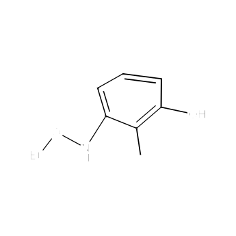 CCONc1cccc(O)c1C